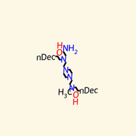 CCCCCCCCCCC(O)CN(C)CCN1CCN(CCN(CCN)CC(O)CCCCCCCCCC)CC1